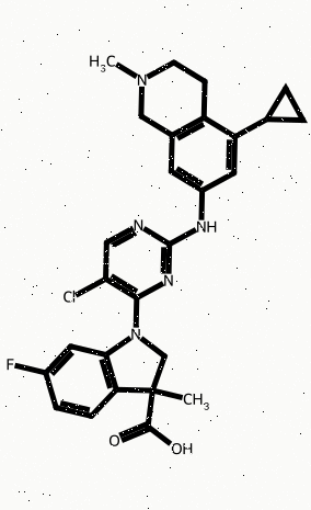 CN1CCc2c(cc(Nc3ncc(Cl)c(N4CC(C)(C(=O)O)c5ccc(F)cc54)n3)cc2C2CC2)C1